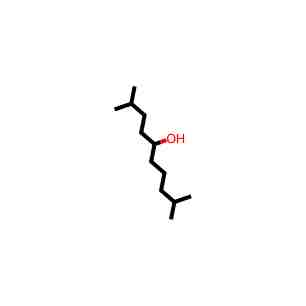 CC(C)CCCC(O)CCC(C)C